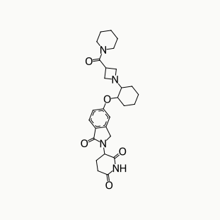 O=C1CCC(N2Cc3cc(OC4CCCCC4N4CC(C(=O)N5CCCCC5)C4)ccc3C2=O)C(=O)N1